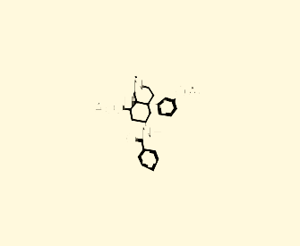 CC(=O)Oc1cccc([C@@]23CCN(C)C[C@H]2C(OC(C)=O)C[C@H](NC(=O)c2ccccc2)C3)c1